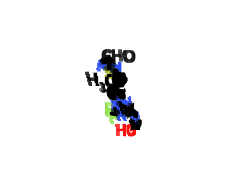 Cc1c(-c2nc3cc(C=O)cnc3s2)cccc1-c1cccc2c1CCN2c1nc(C(F)F)nc2cc(CN3CC[C@@H](O)C3)cnc12